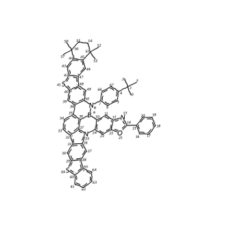 CC(C)(C)c1ccc(N2B3c4cc5nc(-c6ccccc6)oc5cc4-n4c5cc6c(cc5c5ccc(c3c54)-c3cc4sc5cc7c(cc5c4cc32)C(C)(C)CCC7(C)C)sc2ccccc26)cc1